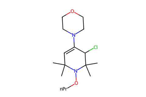 CCCON1C(C)(C)C=C(N2CCOCC2)C(Cl)C1(C)C